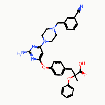 CC(Cc1ccc(Oc2cc(N3CCN(Cc4cccc(C#N)c4)CC3)nc(N)n2)cc1)(Oc1ccccc1)C(=O)O